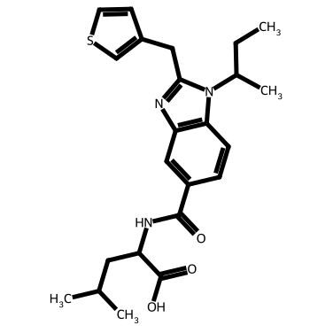 CCC(C)n1c(Cc2ccsc2)nc2cc(C(=O)NC(CC(C)C)C(=O)O)ccc21